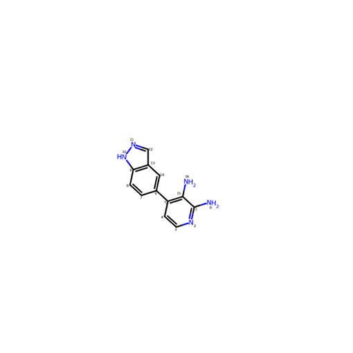 Nc1nccc(-c2ccc3[nH]ncc3c2)c1N